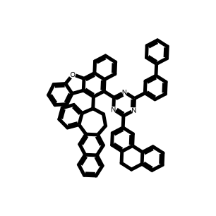 c1ccc(-c2cccc(-c3nc(-c4ccc5c(c4)-c4ccccc4CC5)nc(-c4c(C5CCc6cc7ccccc7cc6-c6ccccc65)c5c6ccccc6oc5c5ccccc45)n3)c2)cc1